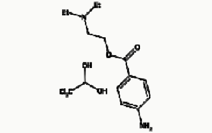 CCN(CC)CCOC(=O)c1ccc(N)cc1.OC(O)C(Cl)(Cl)Cl